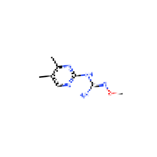 CO/N=C(\N)Nc1ncc(C)c(C)n1